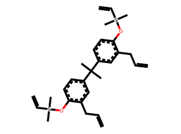 C=CCc1cc(C(C)(C)c2ccc(O[Si](C)(C)C=C)c(CC=C)c2)ccc1O[Si](C)(C)C=C